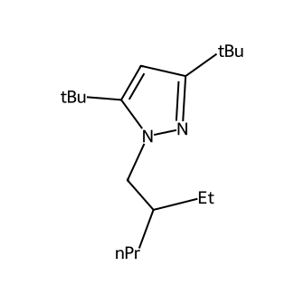 CCCC(CC)Cn1nc(C(C)(C)C)cc1C(C)(C)C